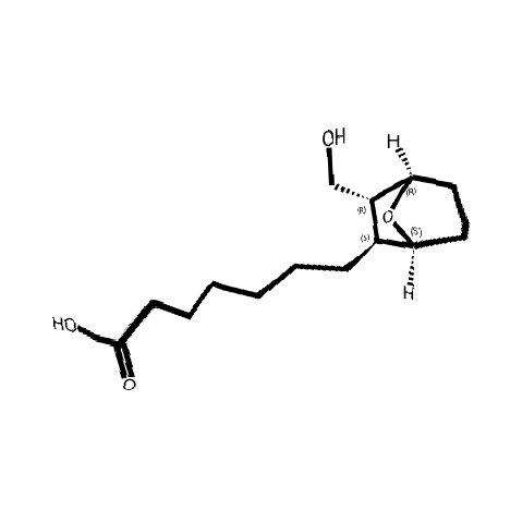 O=C(O)CCCCCC[C@H]1[C@H](CO)[C@H]2CC[C@@H]1O2